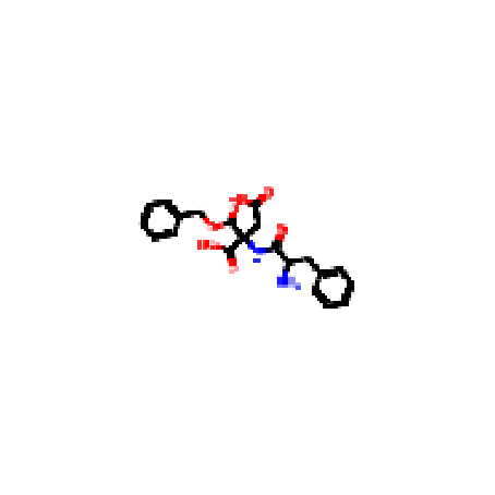 NC(Cc1ccccc1)C(=O)NC(CC(=O)O)(C(=O)O)C(=O)OCc1ccccc1